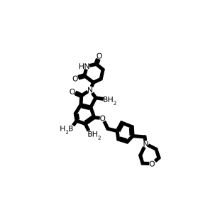 Bc1cc2c(c(OCc3ccc(CN4CCOCC4)cc3)c1B)C(B)N(C1CCC(=O)NC1=O)C2=O